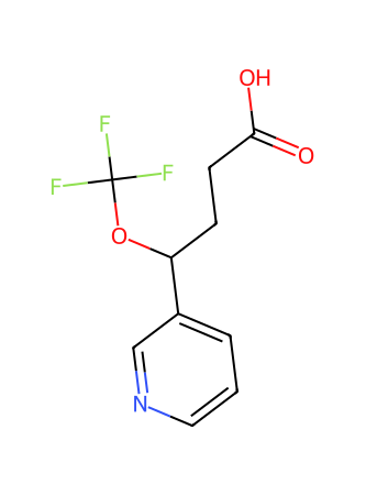 O=C(O)CCC(OC(F)(F)F)c1cccnc1